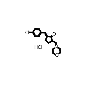 Cl.O=C1/C(=C/c2ccc(Cl)cc2)CCC1CN1CCOCC1